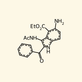 CCOC(=O)c1c(N)ccc2[nH]c(C(=O)c3ccccc3)c(NC(C)=O)c12